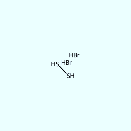 Br.Br.SS